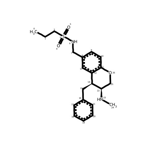 CCCS(=O)(=O)NCc1ccc2c(c1)[C@H](Cc1ccccc1)[C@H](NC)CO2